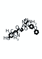 CC(C)(C=C(C#N)C(=O)N1CC[C@H]1Cn1c(=O)n(-c2ccc(Oc3ccccc3)cc2)c2c(N)ncnc21)N1CCC(O)CC1